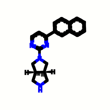 c1ccc2cc(-c3ccnc(N4C[C@H]5CNC[C@H]5C4)n3)ccc2c1